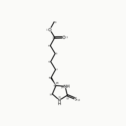 COC(=O)CCCCC[C@@H]1CNC(=S)N1